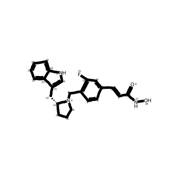 O=C(C=Cc1ccc(CN2CCC[C@@H]2Cc2c[nH]c3ccccc23)c(F)c1)NO